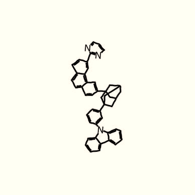 c1cnc(-c2ccc3ccc4ccc(C56CC7CC(CC(c8cccc(-n9c%10ccccc%10c%10ccccc%109)c8)(C7)C5)C6)cc4c3c2)nc1